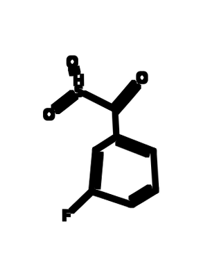 O=C(c1cccc(F)c1)[SH](=O)=O